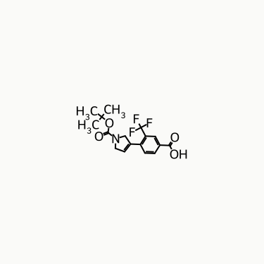 CC(C)(C)OC(=O)N1CC=C(c2ccc(C(=O)O)cc2C(F)(F)F)C1